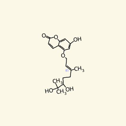 C/C(=C\COc1cc(O)cc2oc(=O)ccc12)CCC(O)C(C)(C)O